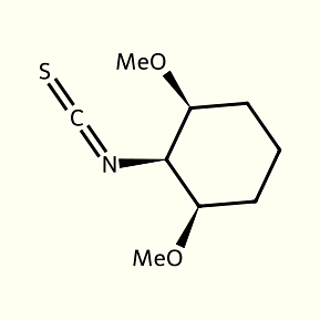 CO[C@H]1CCC[C@@H](OC)[C@H]1N=C=S